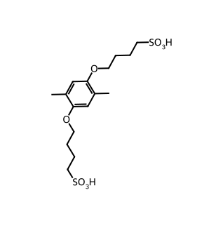 Cc1cc(OCCCCS(=O)(=O)O)c(C)cc1OCCCCS(=O)(=O)O